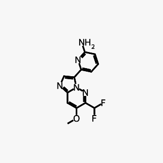 COc1cc2ncc(-c3cccc(N)n3)n2nc1C(F)F